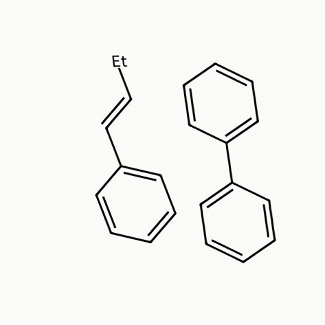 CCC=Cc1ccccc1.c1ccc(-c2ccccc2)cc1